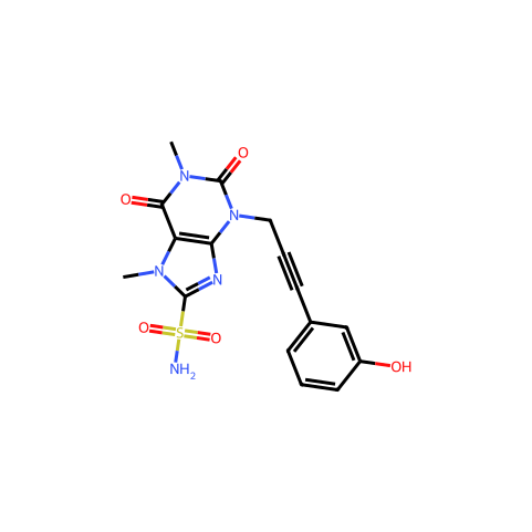 Cn1c(=O)c2c(nc(S(N)(=O)=O)n2C)n(CC#Cc2cccc(O)c2)c1=O